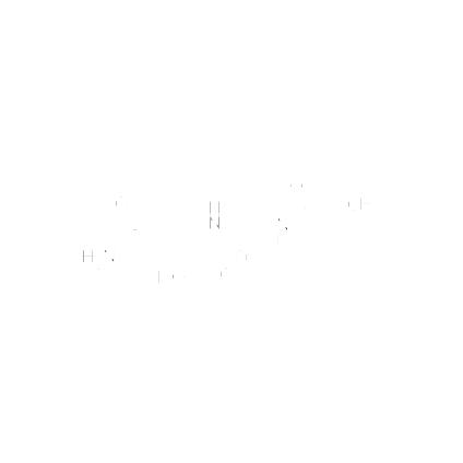 CCC(=O)NCC(=O)N[C@@H](CCC(N)=O)C(=O)O